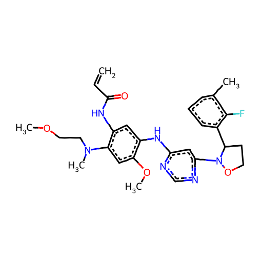 C=CC(=O)Nc1cc(Nc2cc(N3OCCC3c3cccc(C)c3F)ncn2)c(OC)cc1N(C)CCOC